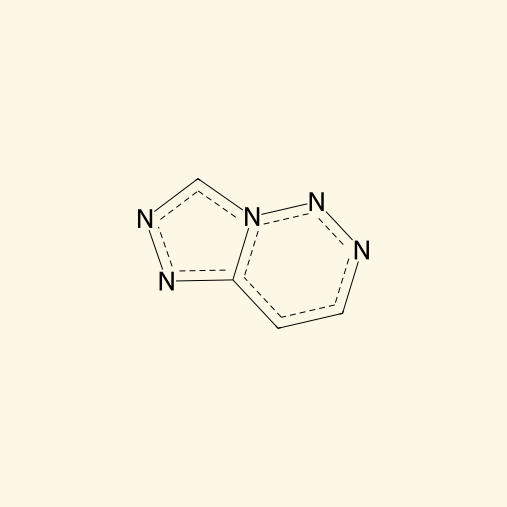 c1cc2nncn2nn1